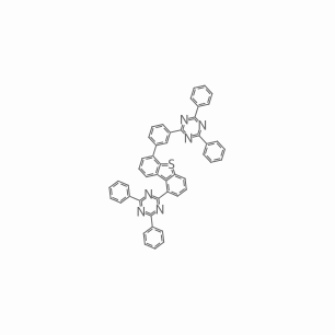 c1ccc(-c2nc(-c3ccccc3)nc(-c3cccc(-c4cccc5c4sc4cccc(-c6nc(-c7ccccc7)nc(-c7ccccc7)n6)c45)c3)n2)cc1